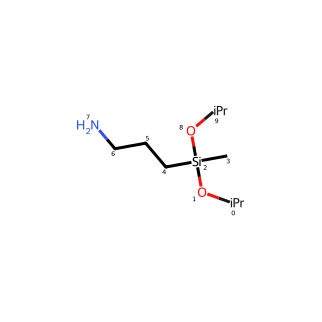 CC(C)O[Si](C)(CCCN)OC(C)C